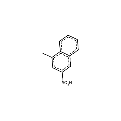 Cc1cc(S(=O)(=O)O)cc2ccccc12